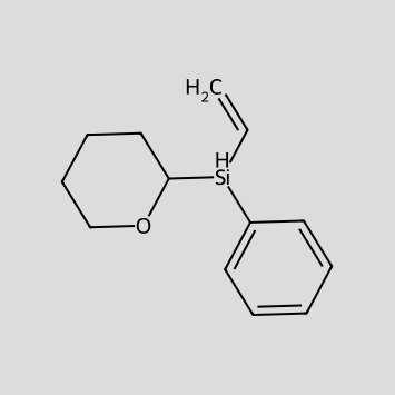 C=C[SiH](c1ccccc1)C1CCCCO1